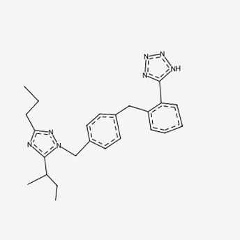 CCCc1nc(C(C)CC)n(Cc2ccc(Cc3ccccc3-c3nnn[nH]3)cc2)n1